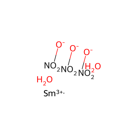 O.O.O=[N+]([O-])[O-].O=[N+]([O-])[O-].O=[N+]([O-])[O-].[Sm+3]